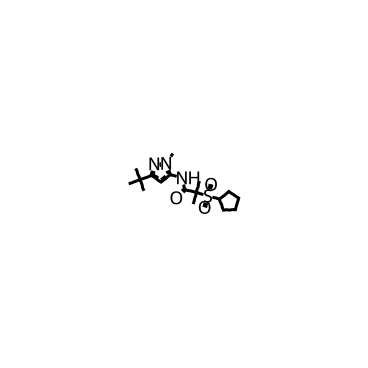 Cn1nc(C(C)(C)C)cc1NC(=O)C(C)(C)S(=O)(=O)C1CCCC1